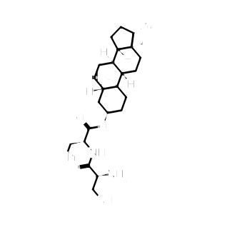 CC(=O)[C@H]1CC[C@H]2[C@@H]3CC[C@H]4C[C@H](OC(=O)[C@H](CC(C)C)NC(=O)[C@@H](N)CS)CC[C@]4(C)[C@H]3CC[C@]12C